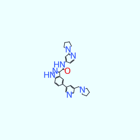 O=C(Nc1ccnc(N2CCCC2)c1)c1n[nH]c2ccc(-c3cncc(CN4CCCC4)c3)cc12